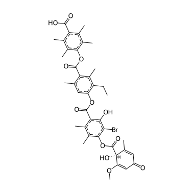 CCc1c(OC(=O)c2c(C)c(C)c(OC(=O)[C@@]3(O)C(C)=CC(=O)C=C3OC)c(Br)c2O)cc(C)c(C(=O)Oc2c(C)c(C)c(C(=O)O)c(C)c2C)c1C